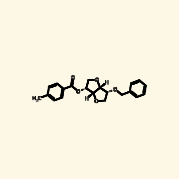 Cc1ccc(C(=O)O[C@@H]2CO[C@H]3[C@@H]2OC[C@H]3OCc2ccccc2)cc1